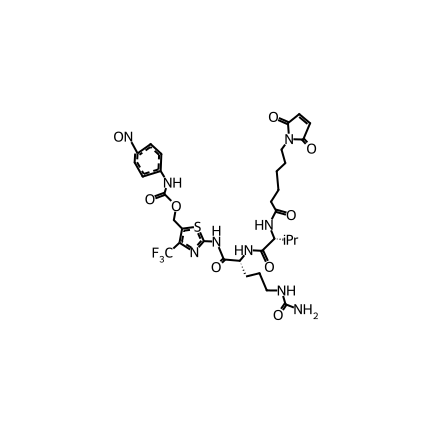 CC(C)[C@@H](NC(=O)CCCCCN1C(=O)C=CC1=O)C(=O)N[C@H](CCCNC(N)=O)C(=O)Nc1nc(C(F)(F)F)c(COC(=O)Nc2ccc(N=O)cc2)s1